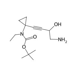 CCN(C(=O)OC(C)(C)C)C1(C#CC(O)CN)CC1